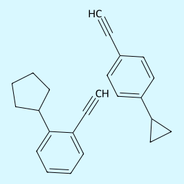 C#Cc1ccc(C2CC2)cc1.C#Cc1ccccc1C1CCCC1